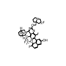 CCOc1nc(-c2cc(O)cc3ccc(F)c(OC(F)(F)F)c23)c(F)c2nc(OC[C@@]34CCCN3C[C@H](F)C4)nc(N3C[C@H]4CC[C@@H](C3)N4)c12